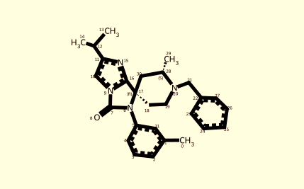 Cc1cccc(N2C(=O)n3cc(C(C)C)nc3[C@]23CCN(Cc2ccccc2)[C@@H](C)C3)c1